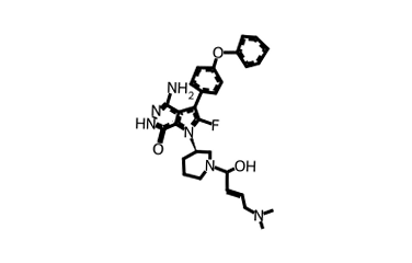 CN(C)C/C=C/C(O)N1CCC[C@@H](n2c(F)c(-c3ccc(Oc4ccccc4)cc3)c3c(N)n[nH]c(=O)c32)C1